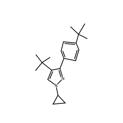 CC(C)(C)c1ccc(-c2nn(C3CC3)cc2C(C)(C)C)cc1